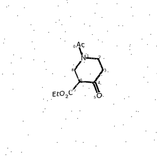 [CH2]C(=O)N1CCC(=O)C(C(=O)OCC)C1